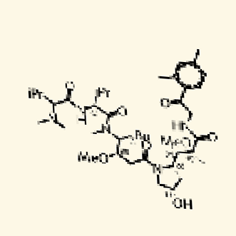 CC[C@H](C)C([C@@H](CC(=O)N1C[C@@H](O)C[C@H]1[C@H](OC)[C@@H](C)C(=O)NCC(=O)c1ccc(C)cc1C)OC)N(C)C(=O)[C@@H](NC(=O)C(C(C)C)N(C)C)C(C)C